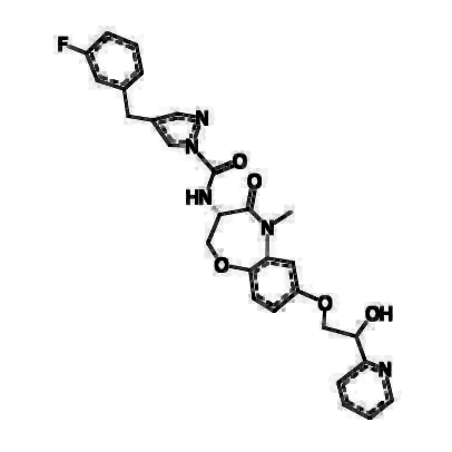 CN1C(=O)[C@@H](NC(=O)n2cc(Cc3cccc(F)c3)cn2)COc2ccc(OCC(O)c3ccccn3)cc21